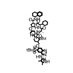 Cc1[nH]nc(Nc2ncnc3cc(OCC4CCN(c5ncc(O[C@H]6C[C@@H](C(=O)N[C@@H]7CCCc8ccccc87)N(C(=O)[C@@H](NC(=O)[C@H](C)N(C)C(=O)OC(C)(C)C)C7CCCCC7)C6)cn5)CC4)c(S(=O)(=O)C(C)(C)C)cc23)c1C